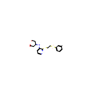 CC(=O)N(c1cccnc1SCCS(=O)(=O)c1cccc(C(F)(F)F)c1)C1CCOC(=O)C1